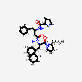 O=C(CC(Cc1ccccc1)NC(=O)C1CCCN1)NC(Cc1cccc2ccccc12)C(=O)N1CCCC1C(=O)O